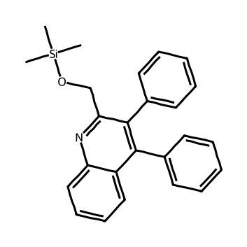 C[Si](C)(C)OCc1nc2ccccc2c(-c2ccccc2)c1-c1ccccc1